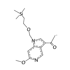 [CH2]C(=O)c1cn(COCC[Si](C)(C)C)c2cc(OC)ncc12